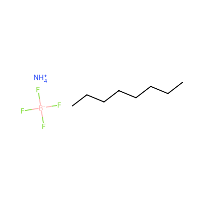 CCCCCCCC.F[B-](F)(F)F.[NH4+]